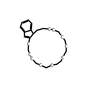 [C]1=C2CCCCCCCCCCCCCCCCCCCCC2c2ccccc21